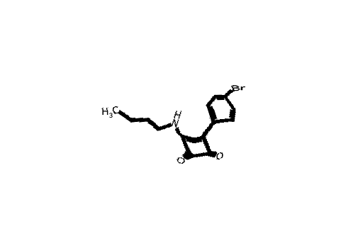 CCCCNc1c(-c2ccc(Br)cc2)c(=O)c1=O